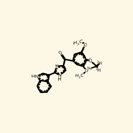 [2H]C([2H])([2H])Oc1c(OC)cc(C(=O)c2c[nH]c(-c3c[nH]c4ccccc34)n2)cc1OC